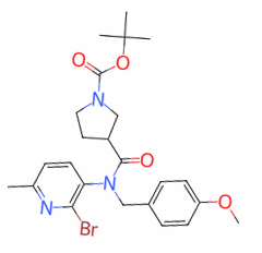 COc1ccc(CN(C(=O)C2CCN(C(=O)OC(C)(C)C)C2)c2ccc(C)nc2Br)cc1